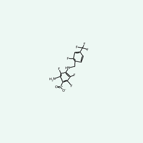 Nc1c(F)c(NCc2ccc(C(F)(F)F)cc2F)c(F)c(F)c1[N+](=O)[O-]